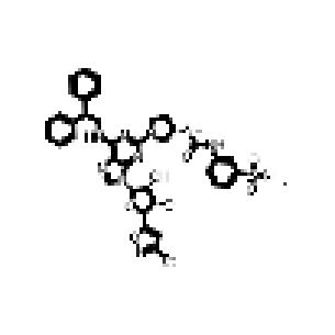 CCc1cc([C@H]2O[C@@H](n3cnc4c(NCC(c5ccccc5)c5ccccc5)nc(N5CC[C@@H](NC(=O)Nc6cccc(S(N)(=O)=O)c6)C5)nc43)[C@@H](O)[C@@H]2O)on1